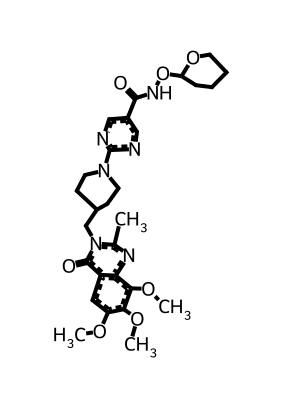 COc1cc2c(=O)n(CC3CCN(c4ncc(C(=O)NOC5CCCCO5)cn4)CC3)c(C)nc2c(OC)c1OC